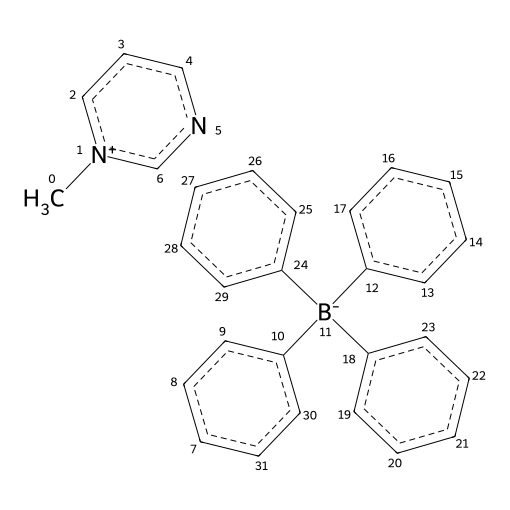 C[n+]1cccnc1.c1ccc([B-](c2ccccc2)(c2ccccc2)c2ccccc2)cc1